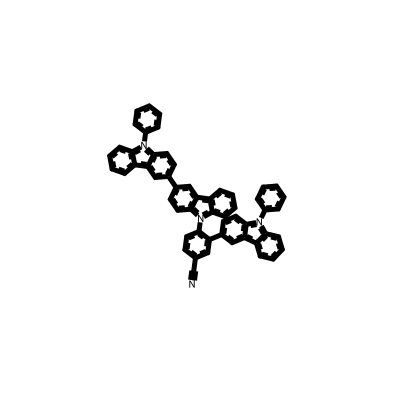 N#Cc1ccc(-n2c3ccccc3c3cc(-c4ccc5c(c4)c4ccccc4n5-c4ccccc4)ccc32)c(-c2ccc3c(c2)c2ccccc2n3-c2ccccc2)c1